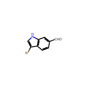 O=Cc1ccc2c(Br)c[nH]c2c1